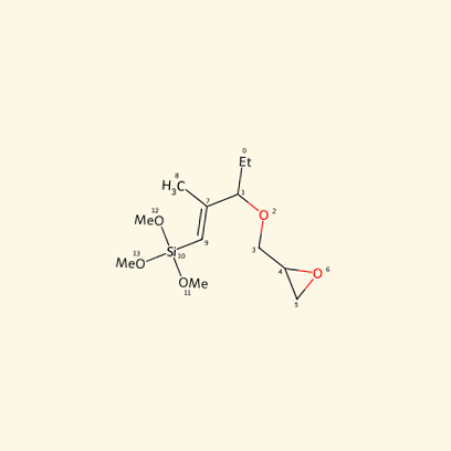 CCC(OCC1CO1)C(C)=C[Si](OC)(OC)OC